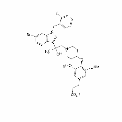 COc1cc(CCC(=O)O)cc(OC)c1OC1CCN(CC(O)(c2cn(Cc3ccccc3F)c3cc(Br)ccc23)C(F)(F)F)CC1